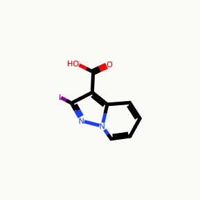 O=C(O)c1c(I)nn2ccccc12